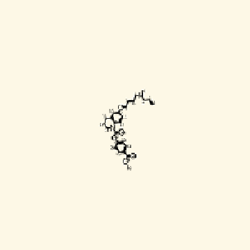 C=CCN(C)C/C=C/COc1ccc2c(c1)CCCN2C(=O)Oc1ccc(C(=O)OC)cc1